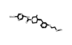 COc1cnc(NC(=O)N2CCC(=Cc3cccc(OCCOC(C)C)c3)C(C)C2)cn1